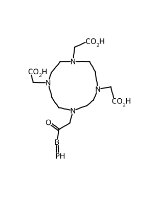 O=C(O)CN1CCN(CC(=O)O)CCN(CC(=O)B=P)CCN(CC(=O)O)CC1